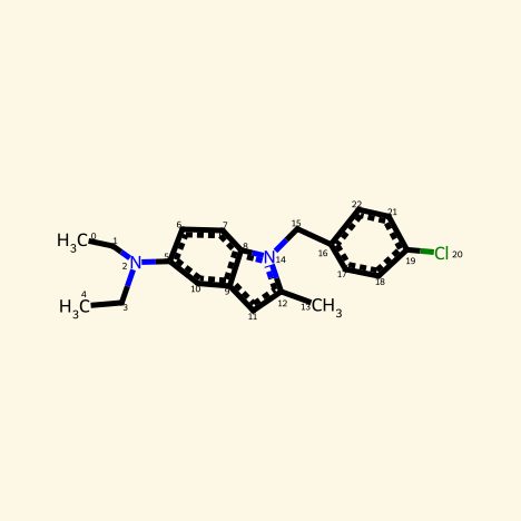 CCN(CC)c1ccc2c(c1)cc(C)n2Cc1ccc(Cl)cc1